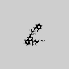 COC(=O)CNc1nc(CNC(=O)NCc2ccccc2)nc2ccccc12